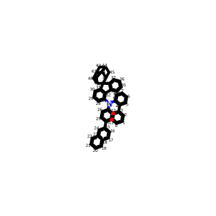 c1ccc(-c2ccccc2N(c2ccc(-c3ccc4ccccc4c3)cc2)c2cccc3c2-c2ccccc2C32C3CC4CC(C3)CC2C4)cc1